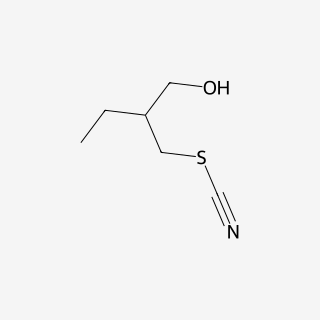 CCC(CO)CSC#N